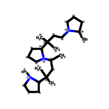 CCCN1CCCC1C(C)(C)CC(C)N1CCCC1C(C)(C)CCN1CCCC1C(C)(C)C